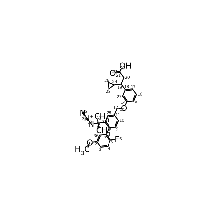 COc1ccc(F)c(-c2ccc(COc3cccc(C(CC(=O)O)C4CC4)c3)cc2C(C)(C)N=[N+]=[N-])c1